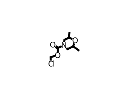 CC1CN(C(=O)OCCl)CC(C)O1